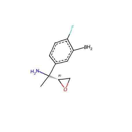 Bc1cc(C(C)(N)[C@@H]2CO2)ccc1F